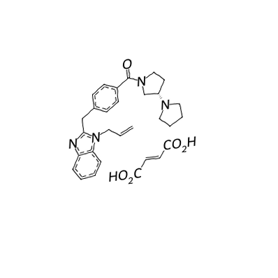 C=CCn1c(Cc2ccc(C(=O)N3CC[C@H](N4CCCC4)C3)cc2)nc2ccccc21.O=C(O)/C=C/C(=O)O